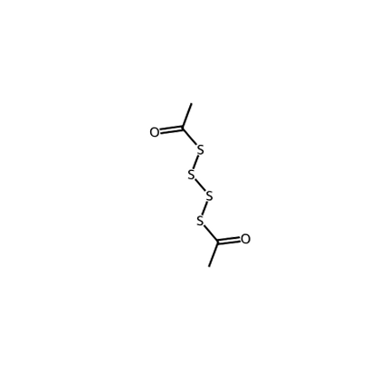 CC(=O)SSSSC(C)=O